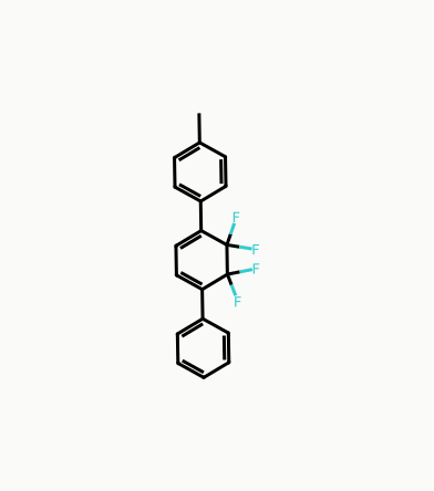 Cc1ccc(C2=CC=C(c3ccccc3)C(F)(F)C2(F)F)cc1